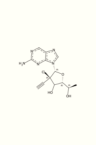 C#C[C@@]1(Cl)C(O)[C@@H]([C@@H](C)O)O[C@H]1n1cnc2cnc(N)nc21